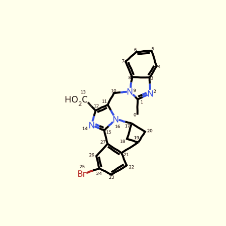 Cc1nc2ccccc2n1Cc1c(C(=O)O)nc2n1C1CC(C1)c1ccc(Br)cc1-2